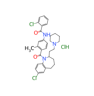 Cc1cc(NC(=O)c2ccccc2Cl)ccc1C(=O)N1c2ccc(Cl)cc2CCCC1CCN1CCCCC1.Cl